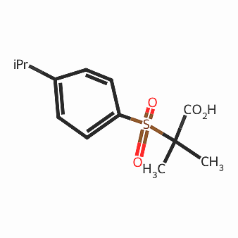 CC(C)c1ccc(S(=O)(=O)C(C)(C)C(=O)O)cc1